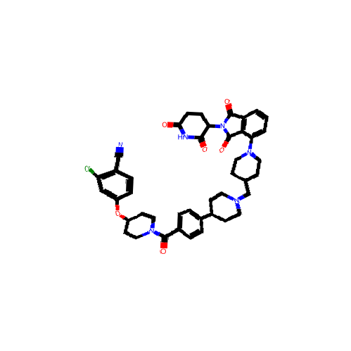 N#Cc1ccc(OC2CCN(C(=O)c3ccc(C4CCN(CC5CCN(c6cccc7c6C(=O)N(C6CCC(=O)NC6=O)C7=O)CC5)CC4)cc3)CC2)cc1Cl